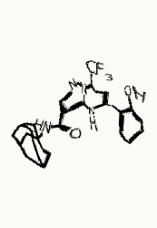 O=C(NC12CC3CC(CC(C3)C1)C2)c1cnn2c1N[C@H](c1ccccc1O)C[C@@H]2C(F)(F)F